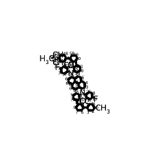 Cc1ccc(-c2cccc3c2oc2c(N(c4ccc(F)cc4)c4ccc5ccc6c(N(c7ccc(F)cc7)c7cccc8c7oc7c(-c9ccc([Si](C)(C)C)cc9C)cccc78)ccc7ccc4c5c76)cccc23)c(C)c1